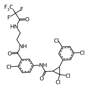 O=C(NCCNC(=O)C(F)(F)C(F)(F)F)c1cc(NC(=O)C2C(c3cc(Cl)cc(Cl)c3)C2(Cl)Cl)ccc1Cl